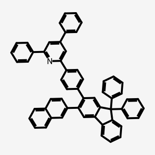 c1ccc(-c2cc(-c3ccccc3)nc(-c3ccc(-c4cc5c(cc4-c4ccc6ccccc6c4)-c4ccccc4C5(c4ccccc4)c4ccccc4)cc3)c2)cc1